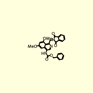 COc1cc(OC)c2c(CN3C(=O)c4ccccc4C3=O)ncc(NC(=O)OCc3ccccc3)c2c1